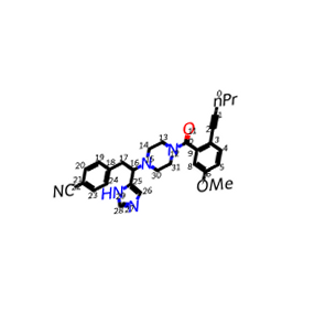 CCCC#Cc1ccc(OC)cc1C(=O)N1CCN(C(Cc2ccc(C#N)cc2)c2cnc[nH]2)CC1